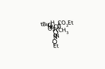 CCOC(=O)COC(C)(C)c1cc2nn([C@H]3CC[C@H](CC)CC3)cc2cc1NC(=O)OC(C)(C)C